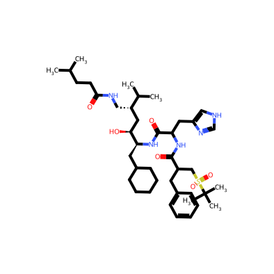 CC(C)CCC(=O)NC[C@@H](C[C@H](O)[C@H](CC1CCCCC1)NC(=O)C(Cc1c[nH]cn1)NC(=O)C(Cc1ccccc1)CS(=O)(=O)C(C)(C)C)C(C)C